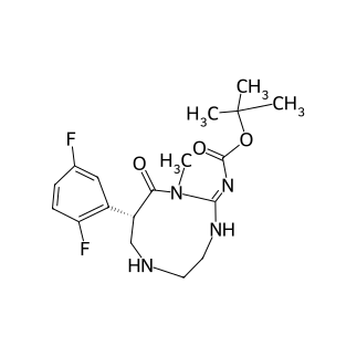 CN1C(=O)[C@@H](c2cc(F)ccc2F)CNCCN/C1=N/C(=O)OC(C)(C)C